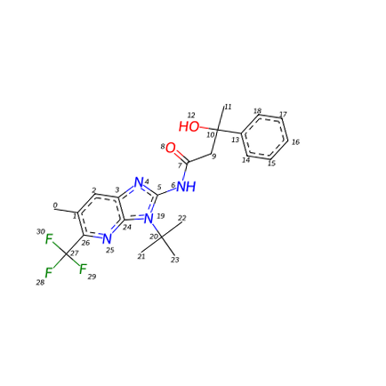 Cc1cc2nc(NC(=O)CC(C)(O)c3ccccc3)n(C(C)(C)C)c2nc1C(F)(F)F